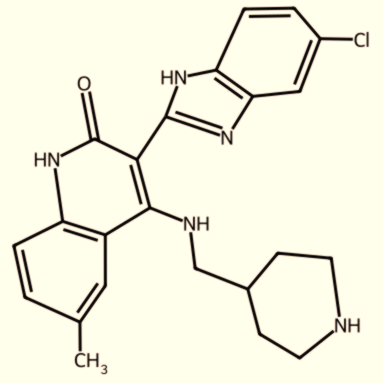 Cc1ccc2[nH]c(=O)c(-c3nc4cc(Cl)ccc4[nH]3)c(NCC3CCNCC3)c2c1